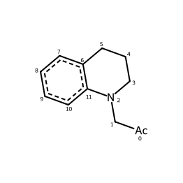 CC(=O)CN1CCCc2ccccc21